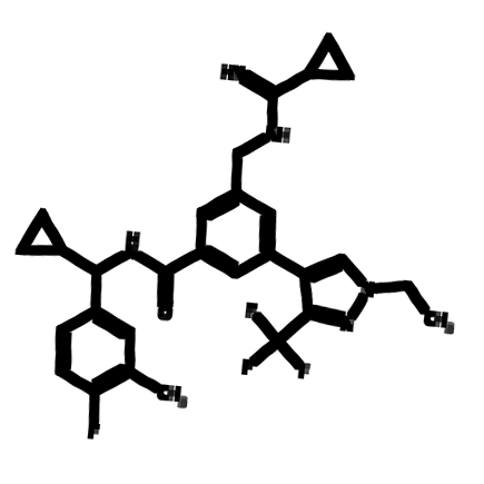 CCn1cc(-c2cc(CNC(=N)C3CC3)cc(C(=O)NC(c3ccc(F)c(C)c3)C3CC3)c2)c(C(F)(F)F)n1